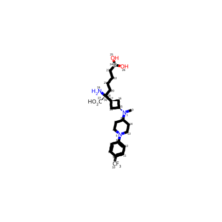 CN(C1CCN(c2ccc(C(F)(F)F)cc2)CC1)[C@H]1C[C@H]([C@@](N)(CCCCB(O)O)C(=O)O)C1